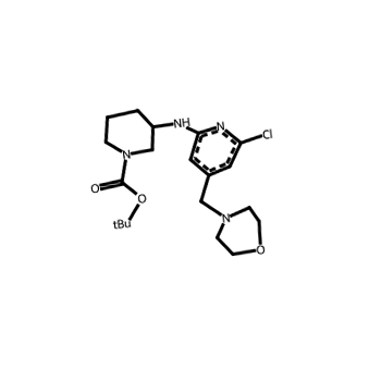 CC(C)(C)OC(=O)N1CCCC(Nc2cc(CN3CCOCC3)cc(Cl)n2)C1